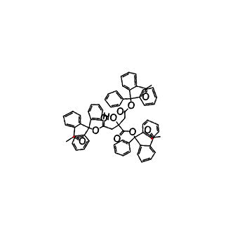 CC(=O)c1ccccc1C(OC(=O)CC(O)(CC(=O)OC(c1ccccc1)(c1ccccc1)c1ccccc1C(C)=O)C(=O)OC(c1ccccc1)(c1ccccc1)c1ccccc1C(C)=O)(c1ccccc1)c1ccccc1